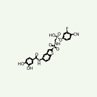 N#Cc1ccc(OP(=O)(O)CNS(=O)(=O)c2cc3cc(NC(=O)c4ccc(O)c(O)c4)ccc3s2)cc1F